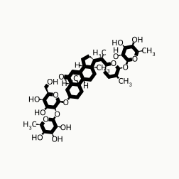 C[C@@H]([C@H]1CC[C@@H]2C3=CC(=O)[C@@H]4C[C@H](O[C@@H]5O[C@H](CO)[C@@H](O)[C@H](O)[C@H]5O[C@@H]5O[C@@H](C)[C@H](O)[C@@H](O)[C@H]5O)CC[C@]4(C)[C@@H]3CC[C@@]21C)[C@H]1CC[C@H](C)[C@@H](O[C@@H]2O[C@@H](C)[C@H](O)[C@@H](O)[C@H]2O)O1